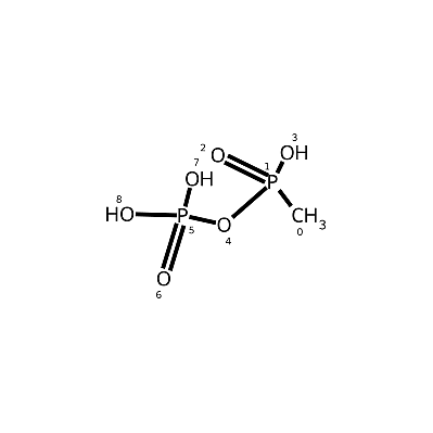 CP(=O)(O)OP(=O)(O)O